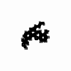 CCCCc1nc2ccc(C(C)(C)OC)cc2c(=O)n1Cc1ccccc1Br